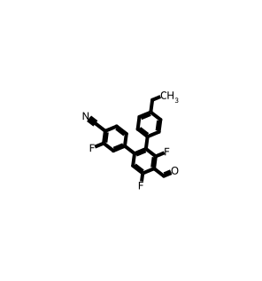 CCc1ccc(-c2c(-c3ccc(C#N)c(F)c3)cc(F)c(C=O)c2F)cc1